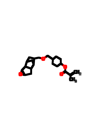 C=C(C)C(=O)OC1CCC(COCC2CC3CC2C2CC4OC4C32)CC1